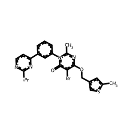 Cc1cc(COc2nc(C)n(-c3cccc(-c4ccnc(C(C)C)n4)c3)c(=O)c2Br)cs1